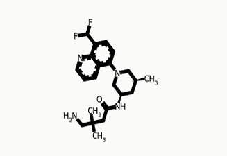 C[C@H]1C[C@@H](NC(=O)CC(C)(C)CN)CN(c2ccc(C(F)F)c3ncccc23)C1